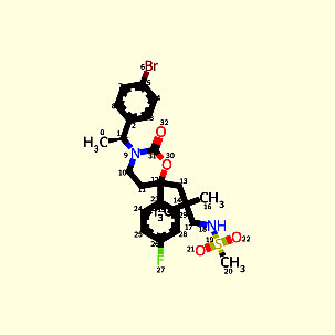 C[C@@H](c1ccc(Br)cc1)N1CCC(CC(C)(C)CNS(C)(=O)=O)(c2ccc(F)cc2)OC1=O